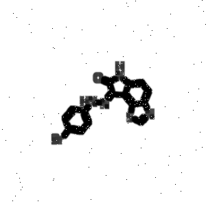 O=C1Nc2ccc3ncsc3c2/C1=N/Nc1ccc(Br)cc1